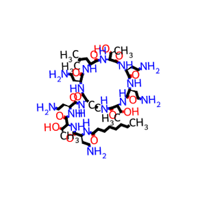 CCCCCCCC(=O)N[C@@H](CCN)C(=O)N[C@H](C(=O)N[C@@H](CCN)C(=O)N[C@H]1CCNC(=O)[C@H]([C@@H](C)O)NC(=O)[C@H](CCN)NC(=O)[C@H](CCN)NC(=O)[C@H]([C@@H](C)O)NC(=O)C(CC(C)C)NC(=O)[C@H](CCN)NC1=O)[C@@H](C)O